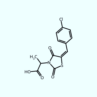 CC(C(=O)O)N1C(=O)SC(=Cc2ccc(Cl)cc2)C1=O